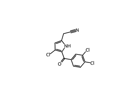 N#CCc1cc(Cl)c(C(=O)c2ccc(Cl)c(Cl)c2)[nH]1